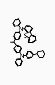 CC(c1ccc(N(c2ccccc2)c2ccc(C3CCCCC3)cc2)cc1)c1ccc(N(c2ccccc2)c2cccc3c2sc2ccccc23)cc1